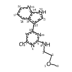 COCCNc1nc(Cl)cc(-c2c[nH]c3ncccc23)n1